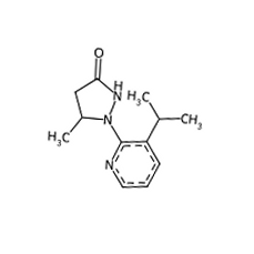 CC(C)c1cccnc1N1NC(=O)CC1C